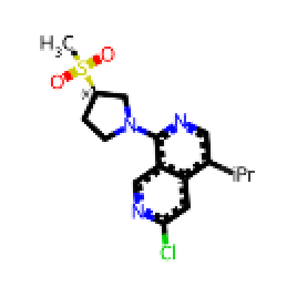 CC(C)c1cnc(N2CC[C@@H](S(C)(=O)=O)C2)c2cnc(Cl)cc12